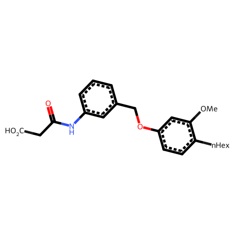 CCCCCCc1ccc(OCc2cccc(NC(=O)CC(=O)O)c2)cc1OC